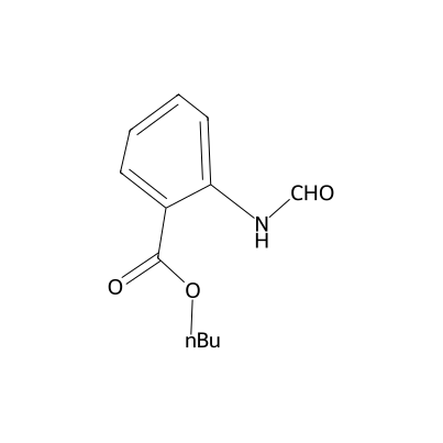 CCCCOC(=O)c1ccccc1NC=O